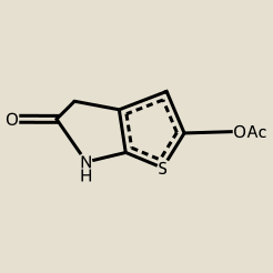 CC(=O)Oc1cc2c(s1)NC(=O)C2